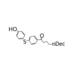 CCCCCCCCCCCCCC(=O)c1ccc(Sc2ccc(O)cc2)cc1